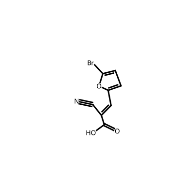 N#C/C(=C\c1ccc(Br)o1)C(=O)O